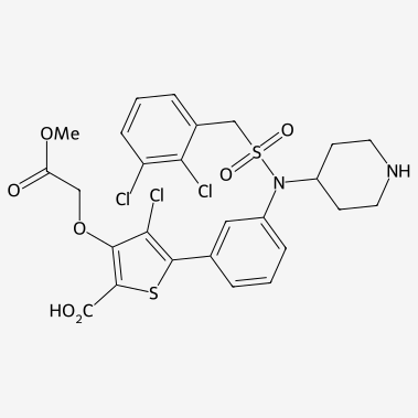 COC(=O)COc1c(C(=O)O)sc(-c2cccc(N(C3CCNCC3)S(=O)(=O)Cc3cccc(Cl)c3Cl)c2)c1Cl